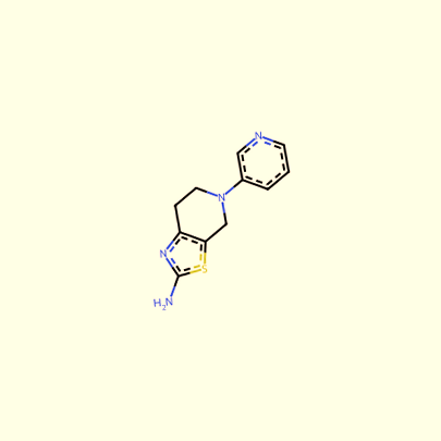 Nc1nc2c(s1)CN(c1cccnc1)CC2